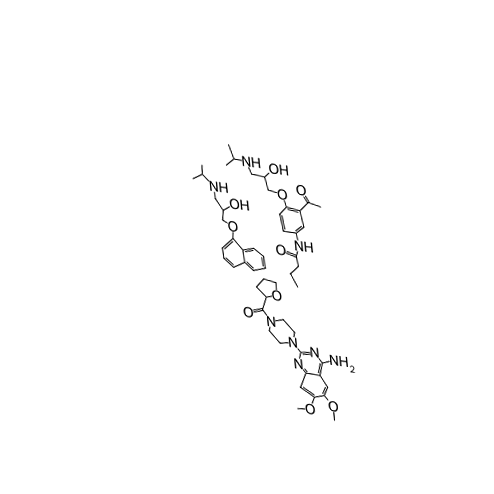 CC(C)NCC(O)COc1cccc2ccccc12.CCCC(=O)Nc1ccc(OCC(O)CNC(C)C)c(C(C)=O)c1.COc1cc2nc(N3CCN(C(=O)C4CCCO4)CC3)nc(N)c2cc1OC